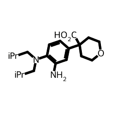 CC(C)CN(CC(C)C)c1ccc(C2(C(=O)O)CCOCC2)cc1N